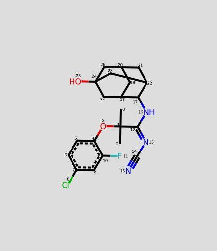 CC(C)(Oc1ccc(Cl)cc1F)/C(=N\C#N)NC1C2CC3CC1CC(O)(C3)C2